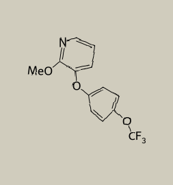 COc1ncccc1Oc1ccc(OC(F)(F)F)cc1